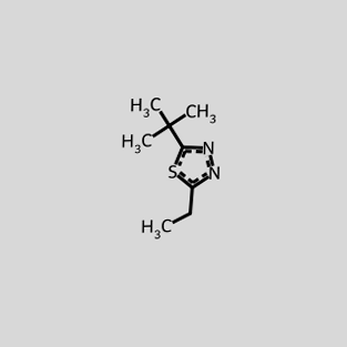 CCc1nnc(C(C)(C)C)s1